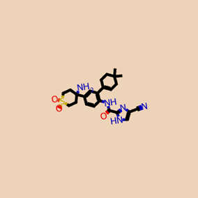 CC1(C)CC=C(c2cc(C3(N)CCS(=O)(=O)CC3)ccc2NC(=O)c2nc(C#N)c[nH]2)CC1